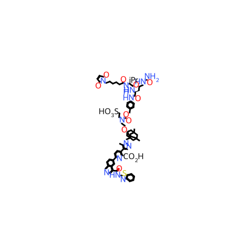 Cc1c(-c2ccc(-c3ccc4cncc(C(=O)Nc5nc6ccccc6s5)c4c3)nc2C(=O)O)cnn1CC12CC3(C)CC(C)(C1)CC(OCCN(CCS(=O)(=O)O)C(=O)OCc1ccc(NC(=O)[C@H](CCCNC(N)=O)NC(=O)[C@@H](NC(=O)CCCCCN4C(=O)C=CC4=O)C(C)C)cc1)(C3)C2